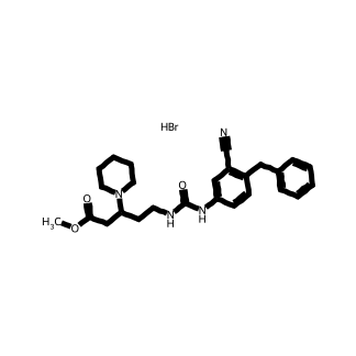 Br.COC(=O)CC(CCNC(=O)Nc1ccc(Cc2ccccc2)c(C#N)c1)N1CCCCC1